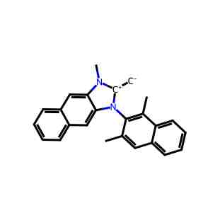 [CH2-][c+]1n(C)c2cc3ccccc3cc2n1-c1c(C)cc2ccccc2c1C